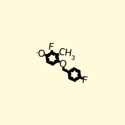 Cc1c(OCc2ccc(F)cc2)ccc([O])c1F